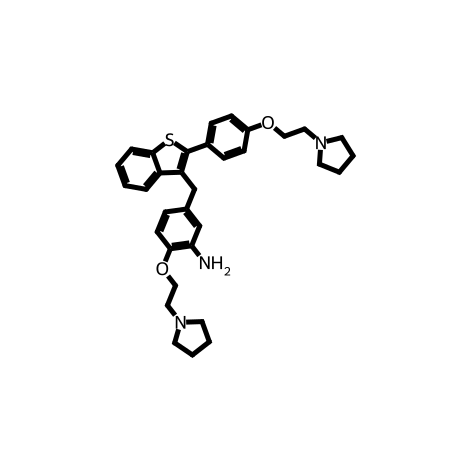 Nc1cc(Cc2c(-c3ccc(OCCN4CCCC4)cc3)sc3ccccc23)ccc1OCCN1CCCC1